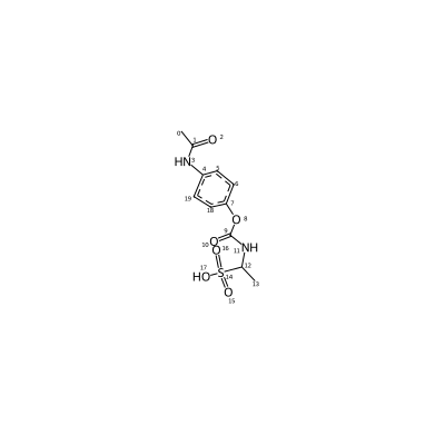 CC(=O)Nc1ccc(OC(=O)NC(C)S(=O)(=O)O)cc1